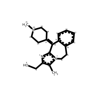 Cc1c(CO)nc2n1CCc1ccccc1C2=C1CCN(C)CC1